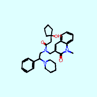 Cn1c(=O)c(CN(CC(c2ccccc2)N2CCCCC2)C(=O)CC2(O)CCCC2)cc2ccccc21